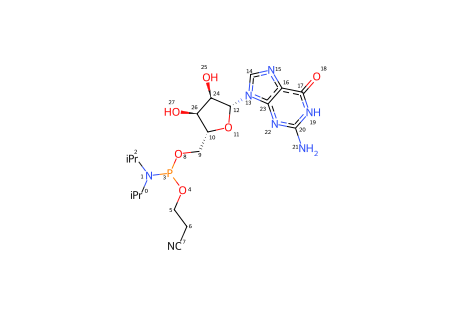 CC(C)N(C(C)C)P(OCCC#N)OC[C@H]1O[C@@H](n2cnc3c(=O)[nH]c(N)nc32)[C@H](O)[C@@H]1O